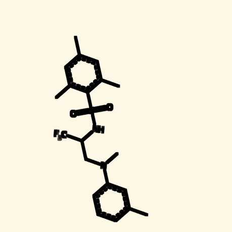 Cc1cccc(N(C)CC(NS(=O)(=O)c2c(C)cc(C)cc2C)C(F)(F)F)c1